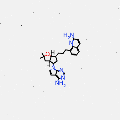 CC1(C)C[C@@H]2[C@H](O1)[C@@H](CCCc1cccc3ccc(N)nc13)C[C@H]2n1ccc2c(N)ncnc21